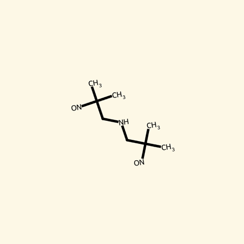 CC(C)(CNCC(C)(C)N=O)N=O